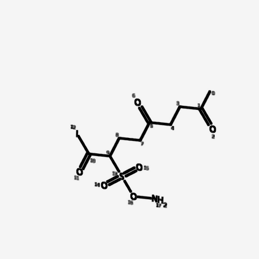 CC(=O)CCC(=O)CCC(C(=O)I)S(=O)(=O)ON